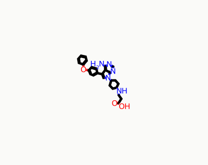 Nc1ncnc2c1c(-c1ccc(Oc3ccccc3)cc1)cn2C1CCC(NCCC(=O)O)CC1